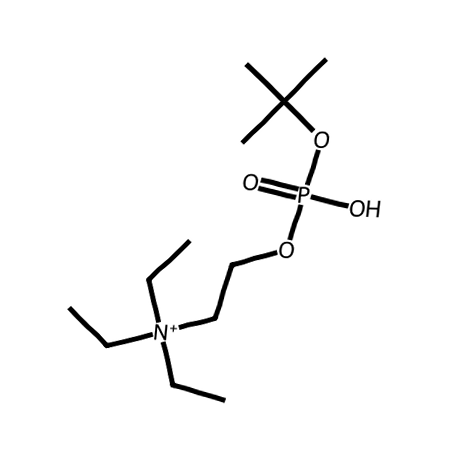 CC[N+](CC)(CC)CCOP(=O)(O)OC(C)(C)C